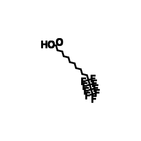 O=C(O)CCCCCCCCCCC(F)(F)C(F)(F)C(F)(F)C(F)(F)F